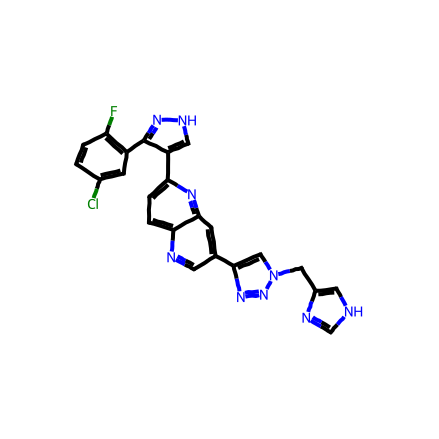 Fc1ccc(Cl)cc1-c1n[nH]cc1-c1ccc2ncc(-c3cn(Cc4c[nH]cn4)nn3)cc2n1